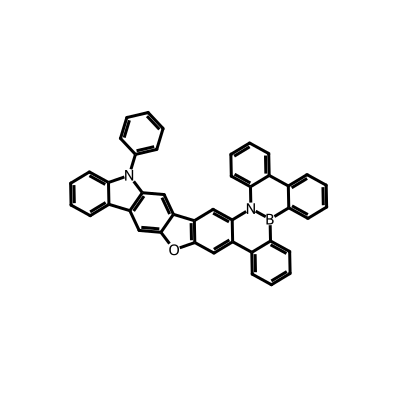 c1ccc(-n2c3ccccc3c3cc4oc5cc6c(cc5c4cc32)N2B(c3ccccc3-c3ccccc32)c2ccccc2-6)cc1